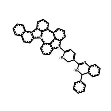 C1=C(C2=Nc3ccccc3C(c3ccccc3)N2)CNC(n2c3cccc4c5cccc6c7c8ccccc8ccc7n(c7cccc2c7c43)c56)=C1